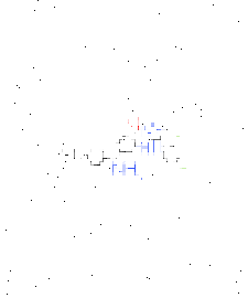 Cc1nn2c(=O)c3ccc(C(N)c4ccc(C#N)cc4)cc3[nH]c2c1-c1ccc(F)cc1F